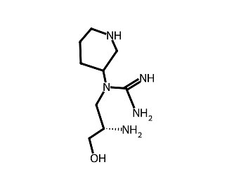 N=C(N)N(C[C@H](N)CO)C1CCCNC1